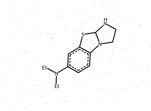 CCN(CC)c1ccc2c(c1)SC1NCCN21